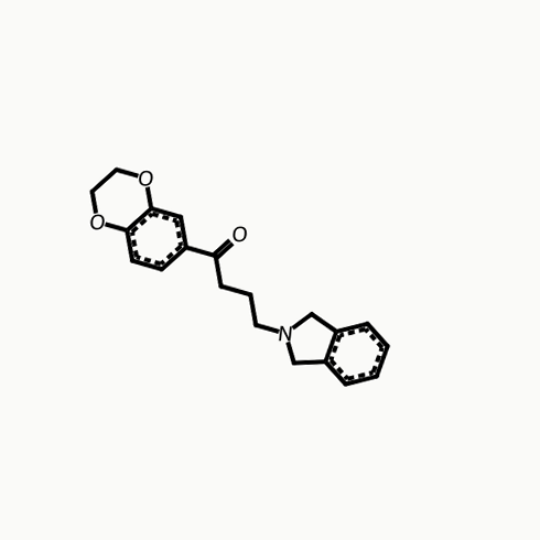 O=C(CCCN1Cc2ccccc2C1)c1ccc2c(c1)OCCO2